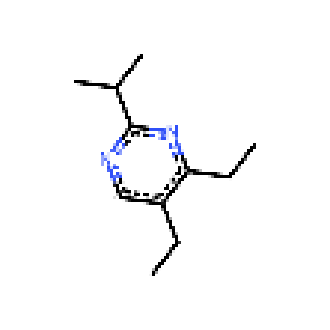 CCc1[c]nc(C(C)C)nc1CC